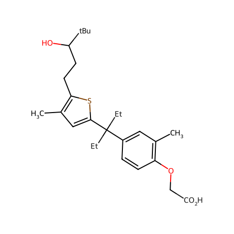 CCC(CC)(c1ccc(OCC(=O)O)c(C)c1)c1cc(C)c(CCC(O)C(C)(C)C)s1